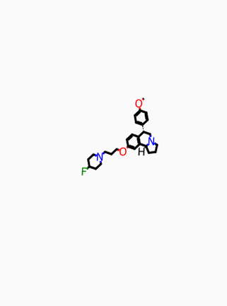 COc1ccc([C@@H]2CN3CCC[C@@H]3c3cc(OCCCN4CCC(F)CC4)ccc32)cc1